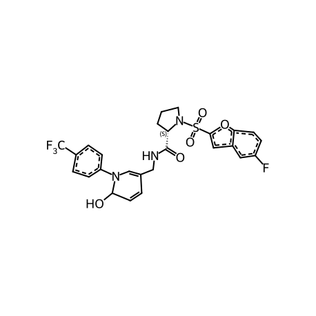 O=C(NCC1=CN(c2ccc(C(F)(F)F)cc2)C(O)C=C1)[C@@H]1CCCN1S(=O)(=O)c1cc2cc(F)ccc2o1